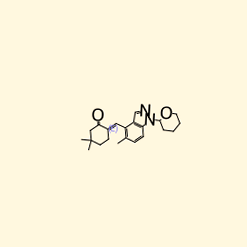 Cc1ccc2c(cnn2C2CCCCO2)c1/C=C1\CCC(C)(C)CC1=O